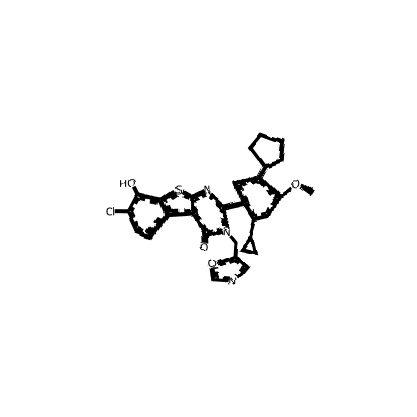 COc1cc(C2CC2)c(-c2nc3sc4c(O)c(Cl)ccc4c3c(=O)n2Cc2cnco2)cc1C1CCCC1